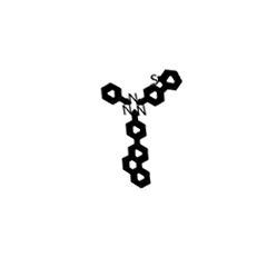 c1ccc(-c2nc(-c3ccc(-c4ccc5c(ccc6ccccc65)c4)cc3)nc(-c3ccc4c(c3)sc3ccccc34)n2)cc1